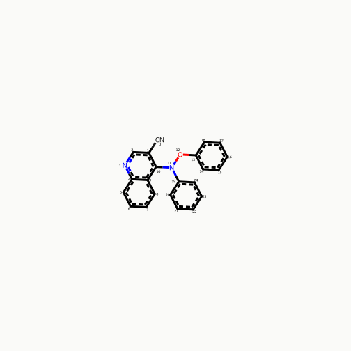 N#Cc1cnc2ccccc2c1N(Oc1ccccc1)c1ccccc1